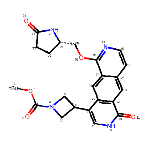 CC(C)(C)OC(=O)N1CC(c2c[nH]c(=O)c3cc4ccnc(OC[C@@H]5CCC(=O)N5)c4cc23)C1